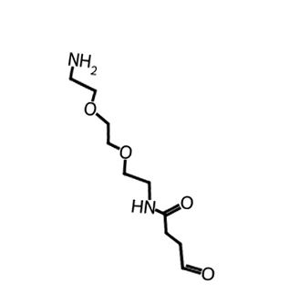 NCCOCCOCCNC(=O)CCC=O